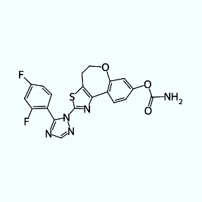 NC(=O)Oc1ccc2c(c1)OCCc1sc(-n3ncnc3-c3ccc(F)cc3F)nc1-2